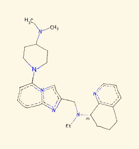 CCN(Cc1cn2c(N3CCC(N(C)C)CC3)cccc2n1)[C@H]1CCCc2cccnc21